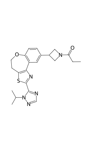 CCC(=O)N1CC(c2ccc3c(c2)-c2nc(-c4ncnn4C(C)C)sc2CCO3)C1